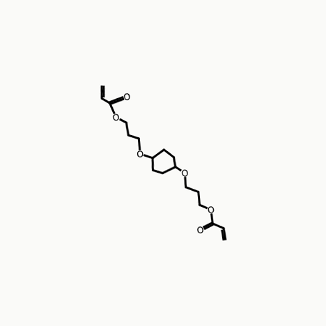 C=CC(=O)OCCCOC1CCC(OCCCOC(=O)C=C)CC1